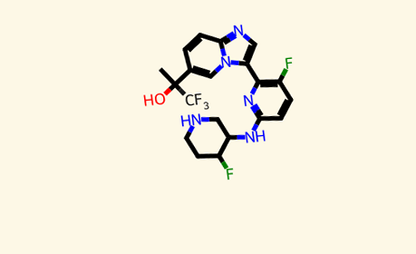 CC(O)(c1ccc2ncc(-c3nc(NC4CNCCC4F)ccc3F)n2c1)C(F)(F)F